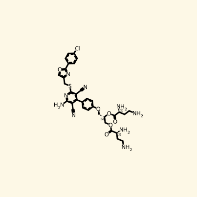 N#Cc1c(N)nc(SCc2coc(-c3ccc(Cl)cc3)n2)c(C#N)c1-c1ccc(OC[C@@H](COC(=O)[C@@H](N)CCN)OC(=O)[C@@H](N)CCN)cc1